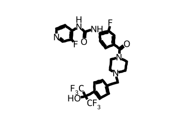 O=C(Nc1ccncc1F)Nc1ccc(C(=O)N2CCN(Cc3ccc(C(O)(C(F)(F)F)C(F)(F)F)cc3)CC2)cc1F